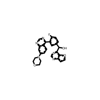 OC(c1ccc(F)c(-c2ncnc3cc(N4CCOCC4)ccc23)c1)c1ncnc2ccoc12